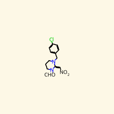 O=CN1CCCN(Cc2ccc(Cl)cc2)/C1=C/[N+](=O)[O-]